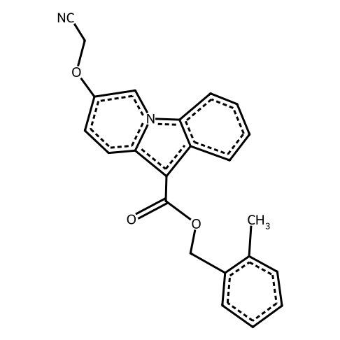 Cc1ccccc1COC(=O)c1c2ccccc2n2cc(OCC#N)ccc12